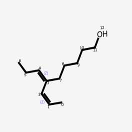 C/C=C\C(=C/CC)CCCCCO